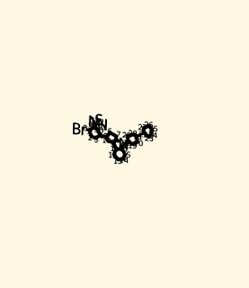 Brc1ccc(-c2ccc3c(c2)c2ccccc2n3-c2ccc(-c3ccccc3)cc2)c2nsnc12